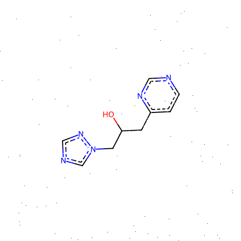 OC(Cc1ccncn1)Cn1cncn1